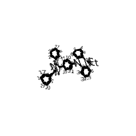 CCN1c2ccccc2N(c2ccc(-c3nc(-c4ccccc4)nn3-c3ccccc3)cc2)c2ccccc21